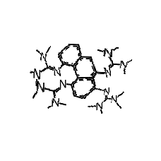 CN(C)C(=Nc1ccc(N=C(N(C)C)N(C)C)c2c1c(N=C(N(C)C)N(C)C)cc1cccc(N=C(N(C)C)N(C)C)c12)N(C)C